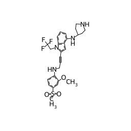 COc1cc(S(C)(=O)=O)ccc1NCC#Cc1cc2c(NC3CCNCC3)cccc2n1CC(F)(F)F